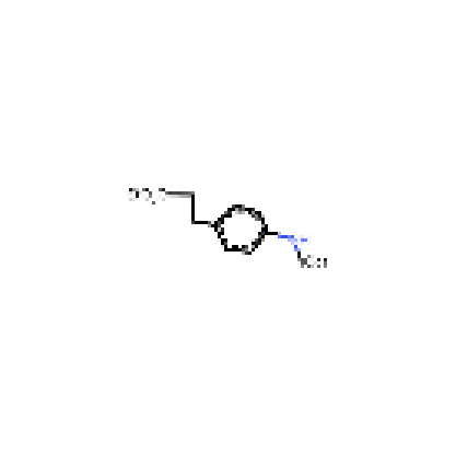 CCCCCCCCNc1ccc(CCC(=O)OCC)cc1